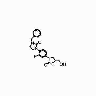 O=C1O[C@@H](CO)CN1c1ccc(N2CCN(Cc3ccccc3)C2=O)c(F)c1